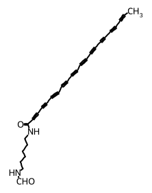 CC#CC#CC#CC#CC#CC#CC#CC#CC#CC#CC(=O)NCCCCCCNC=O